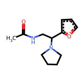 CC(=O)NCC(c1ccco1)N1CCCC1